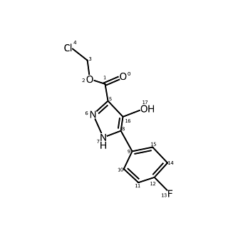 O=C(OCCl)c1n[nH]c(-c2ccc(F)cc2)c1O